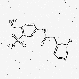 N=Cc1ccc(NC(=O)Cc2ccccc2Cl)cc1S(N)(=O)=O